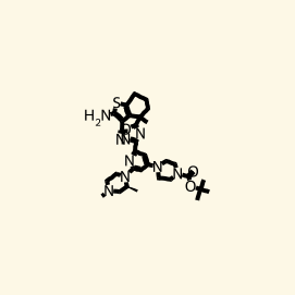 C[C@H]1CN(C)CCN1c1cc(N2CCN(C(=O)OC(C)(C)C)CC2)cc(-c2noc(C3(C)CCCc4sc(N)c(C#N)c43)n2)n1